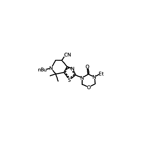 CCCCN1CC(C#N)c2nc(N3COCN(CC)C3=O)sc2C1(C)C